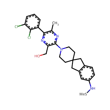 CSNc1ccc2c(c1)CC1(CCN(c3nc(C)c(-c4cccc(Cl)c4Cl)nc3CO)CC1)C2